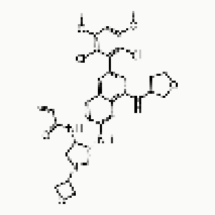 C=CC(=O)N[C@H]1CN(C2COC2)C[C@H]1Nc1cc2c(NC3CCOC3)nc(-c3c(Cl)c(OC)cc(OC)c3Cl)cc2cn1